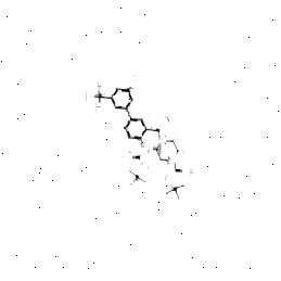 CC(C)(C)OC(=O)Nc1ccc(-c2cc(F)cc(C(F)(F)F)c2)cc1C(=O)N1CCN(C(=O)OC(C)(C)C)CC1